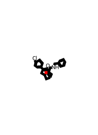 O=C(NCc1ccccc1)C12CC3CC(C1)CC(c1ccc(Cl)cc1)(C3)C2